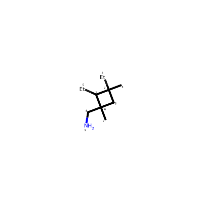 CCC1C(C)(CC)CC1(C)CN